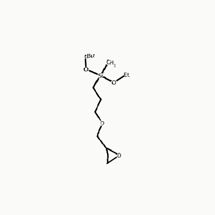 CCO[Si](C)(CCCOCC1CO1)OC(C)(C)C